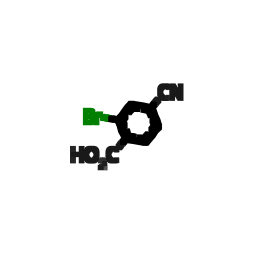 N#Cc1ccc(C(=O)O)c(Br)c1